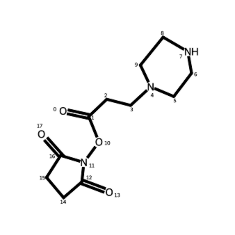 O=C(CCN1CCNCC1)ON1C(=O)CCC1=O